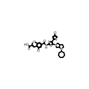 C/C(=C\c1c(Cl)cc(C(=O)Nc2nc(-c3cc(Cl)cs3)c(N3CC4CCN(C5CCCCCC5)C4C3)s2)cc1Cl)C(=O)O